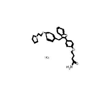 Cl.NC(=O)CCCOc1ccc(-c2sc3ccccc3c2Cc2ccc(OCCN3CCCC3)cc2)cc1